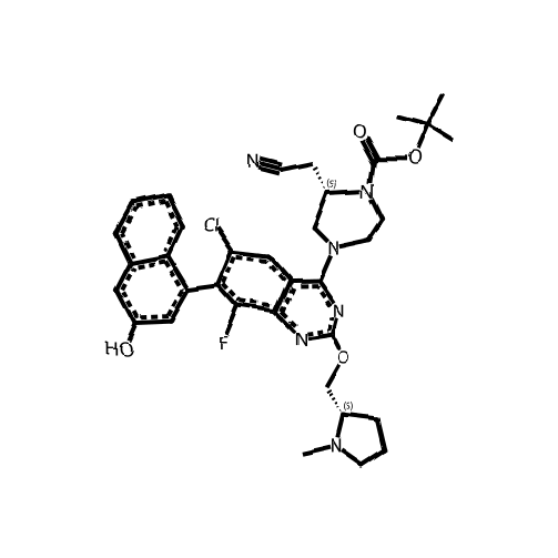 CN1CCC[C@H]1COc1nc(N2CCN(C(=O)OC(C)(C)C)[C@@H](CC#N)C2)c2cc(Cl)c(-c3cc(O)cc4ccccc34)c(F)c2n1